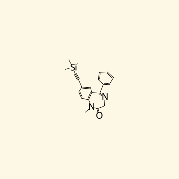 CN1C(=O)CN=C(c2ccccc2)c2cc(C#C[Si](C)(C)C)ccc21